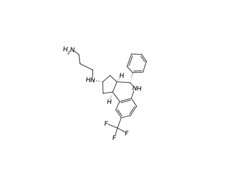 NCCCN[C@@H]1C[C@@H]2[C@H](C1)c1cc(C(F)(F)F)ccc1N[C@H]2c1ccccc1